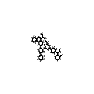 C=C/C(=C1/CCCCC1=C)c1ccc(-c2cc(/C=C/CC(C=C)/C=C/c3ccccc3-c3ccccc3)nc(-c3cccc(-c4ccccc4)c3)n2)cc1